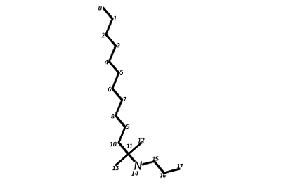 CCCCCCCCCCCC(C)(C)[N]CCC